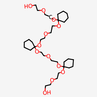 OCCOCCOC1(OCCOCCOC2(OCCOCCOC3(OCCOCCO)CCCCC3)CCCCC2)CCCCC1